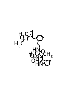 CC(=O)C=C(C)NCc1ccccc1CCNC(=O)C(C)(NC(=O)O)C(C)c1c[nH]c2ccccc12